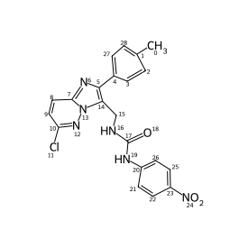 Cc1ccc(-c2nc3ccc(Cl)nn3c2CNC(=O)Nc2ccc([N+](=O)[O-])cc2)cc1